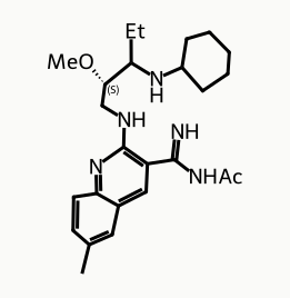 CCC(NC1CCCCC1)[C@H](CNc1nc2ccc(C)cc2cc1C(=N)NC(C)=O)OC